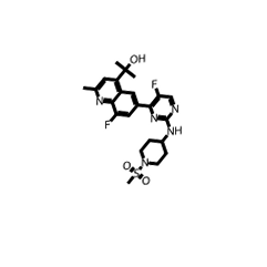 Cc1cc(C(C)(C)O)c2cc(-c3nc(NC4CCN(S(C)(=O)=O)CC4)ncc3F)cc(F)c2n1